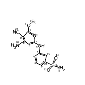 CCOc1nc(Nc2cccc(S(N)(=O)=O)c2)cc(N)c1C#N